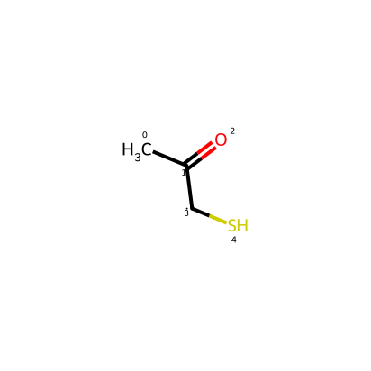 CC(=O)[CH]S